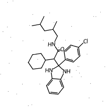 CC(C)CC(C)CNC(=O)C(C1CCCCC1)C1(c2ccc(Cl)cc2)Nc2ccccc2N1